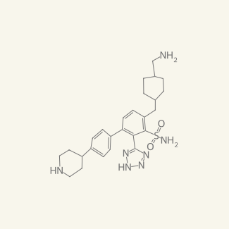 NCC1CCC(Cc2ccc(-c3ccc(C4CCNCC4)cc3)c(-c3nn[nH]n3)c2S(N)(=O)=O)CC1